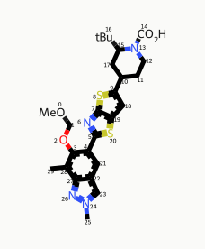 COCOc1c(-c2nc3sc(C4CCN(C(=O)O)C(C(C)(C)C)C4)cc3s2)cc2cn(C)nc2c1C